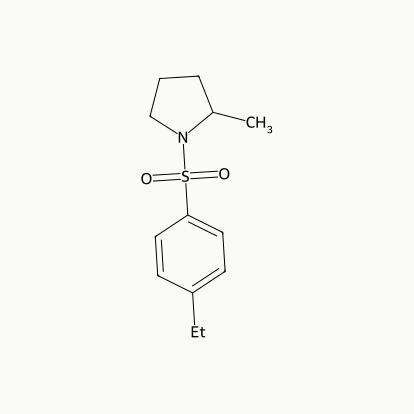 CCc1ccc(S(=O)(=O)N2CCCC2C)cc1